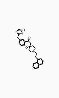 O=C1CC2(CCN(CCc3cccc4ccccc34)CC2)Oc2ccc(Cc3nc[nH]n3)cc21